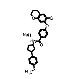 CSc1ccc(C2CCC(NC(=O)c3ccc(Oc4cc5c(cc4Cl)CCCO5)cc3)C2)cc1.[NaH]